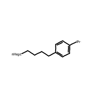 CCCCCCCCCCCc1ccc([C](C)C)cc1